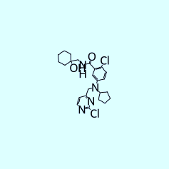 O=C(NCC1(O)CCCCC1)c1cc(N(Cc2ccnc(Cl)n2)C2CCCC2)ccc1Cl